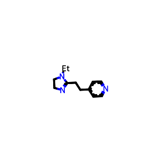 CCN1CCN=C1CCc1ccncc1